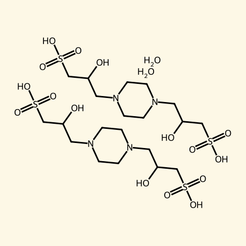 O.O.O=S(=O)(O)CC(O)CN1CCN(CC(O)CS(=O)(=O)O)CC1.O=S(=O)(O)CC(O)CN1CCN(CC(O)CS(=O)(=O)O)CC1